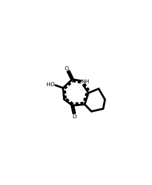 O=c1cc(O)c(=O)[nH]c2c1CCCC2